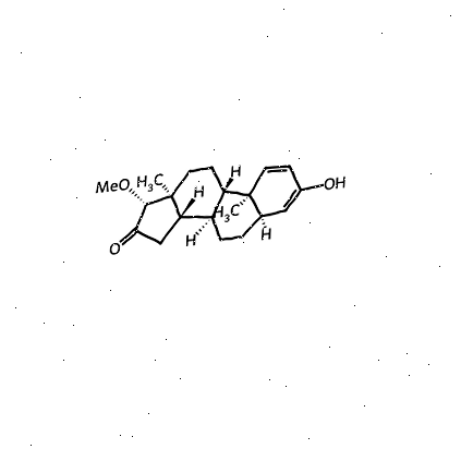 CO[C@H]1C(=O)C[C@H]2[C@@H]3CC[C@@H]4C=C(O)C=C[C@]4(C)[C@H]3CC[C@]12C